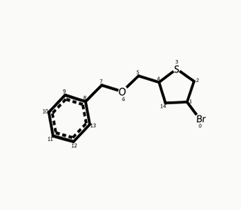 BrC1CSC(COCc2ccccc2)C1